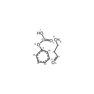 CCCC=O.O=[Si](O)Oc1ccccc1